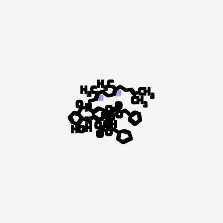 CC(C)=CCC/C(C)=C/CC/C(C)=C/CN1C(=O)c2cccc(O)c2Nc2c(OP(=O)(O)OCc3ccccc3)cc(OP(=O)(O)OCc3ccccc3)cc21